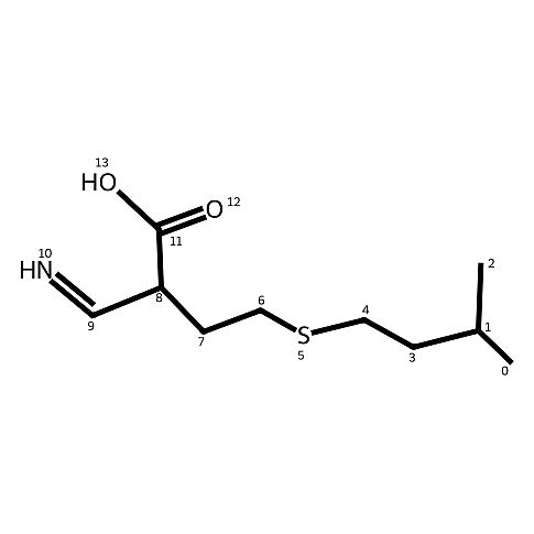 CC(C)CCSCCC(C=N)C(=O)O